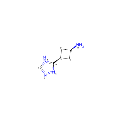 N[C@H]1C[C@@H](c2nnc[nH]2)C1